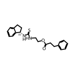 O=C(CCc1ccccc1)OCCNC(=S)N[C@H]1CCc2ccccc21